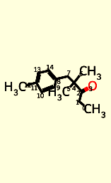 CCC(=O)C(C)(C)Cc1ccc(C)cc1